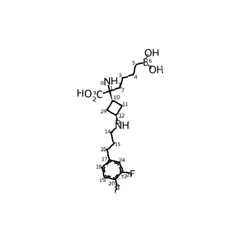 NC(CCCCB(O)O)(C(=O)O)[C@H]1C[C@@H](NCCCc2ccc(F)c(F)c2)C1